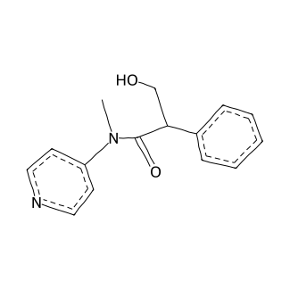 CN(C(=O)C(CO)c1ccccc1)c1ccncc1